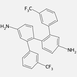 Nc1ccc(-c2ccc(N)cc2-c2cccc(C(F)(F)F)c2)c(-c2cccc(C(F)(F)F)c2)c1